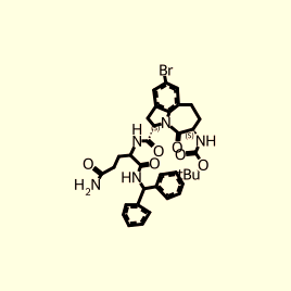 CC(C)(C)OC(=O)N[C@H]1CCc2cc(Br)cc3c2N(C1=O)[C@H](C(=O)NC(CCC(N)=O)C(=O)NC(c1ccccc1)c1ccccc1)C3